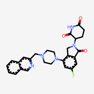 O=C1CCC(N2Cc3c(cc(F)cc3N3CCN(Cc4cc5ccccc5cn4)CC3)C2=O)C(=O)N1